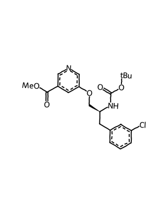 COC(=O)c1cncc(OC[C@H](Cc2cccc(Cl)c2)NC(=O)OC(C)(C)C)c1